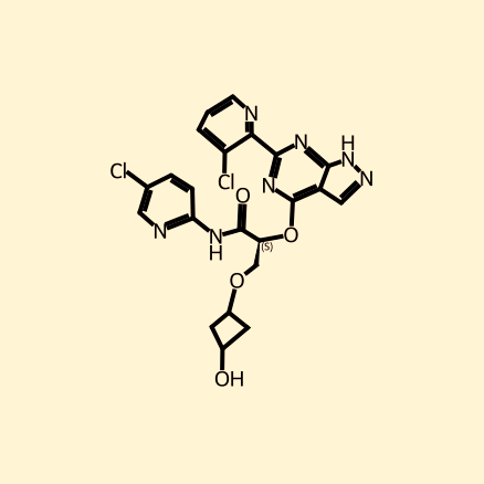 O=C(Nc1ccc(Cl)cn1)[C@H](COC1CC(O)C1)Oc1nc(-c2ncccc2Cl)nc2[nH]ncc12